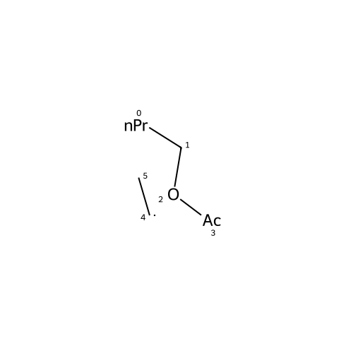 CCCCOC(C)=O.[CH2]C